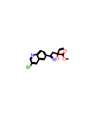 C=CC1(C(=O)OC)CC(c2ccc3ncc(Br)cc3c2)=NO1